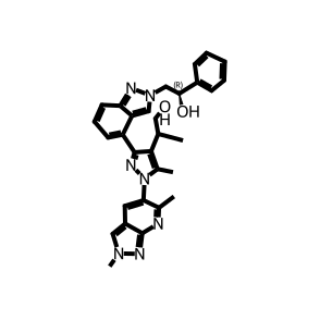 Cc1nc2nn(C)cc2cc1-n1nc(-c2cccc3nn(C[C@H](O)c4ccccc4)cc23)c(C(C)CO)c1C